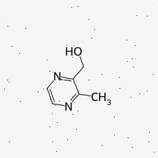 Cc1nccnc1CO